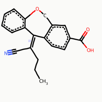 CCC/C(C#N)=C1\c2ccc(C(=O)O)cc2COc2ccccc21